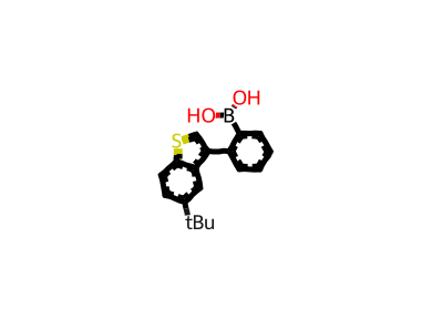 CC(C)(C)c1ccc2scc(-c3ccccc3B(O)O)c2c1